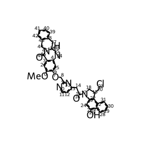 COc1cc2c(cc1OCc1nccc(CC(=O)N3C[C@@H](CCl)c4c3cc(O)c3ccccc43)n1)N=C[C@@H]1Cc3ccccc3CN1C2=O